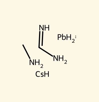 CN.N=CN.[CsH].[PbH2]